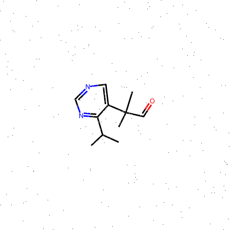 CC(C)c1ncncc1C(C)(C)C=O